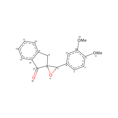 COc1ccc(C2OC23Cc2ccccc2C3=O)cc1OC